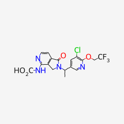 CC(c1cnc(OCC(F)(F)F)c(Cl)c1)N1Cc2c(ccnc2NC(=O)O)C1=O